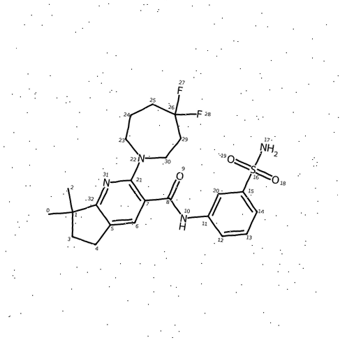 CC1(C)CCc2cc(C(=O)Nc3cccc(S(N)(=O)=O)c3)c(N3CCCC(F)(F)CC3)nc21